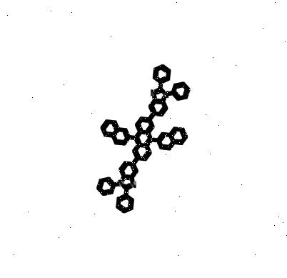 c1ccc(-c2nc3cc(-c4ccc5c(-c6ccc7ccccc7c6)c6cc(-c7ccc8c(c7)nc(-c7ccccc7)n8-c7ccccc7)ccc6c(-c6ccc7ccccc7c6)c5c4)ccc3n2-c2ccccc2)cc1